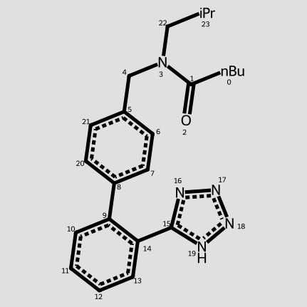 CCCCC(=O)N(Cc1ccc(-c2ccccc2-c2nnn[nH]2)cc1)CC(C)C